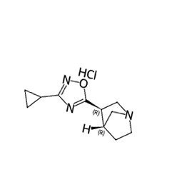 C1CC1c1noc([C@H]2CN3CC[C@H]2C3)n1.Cl